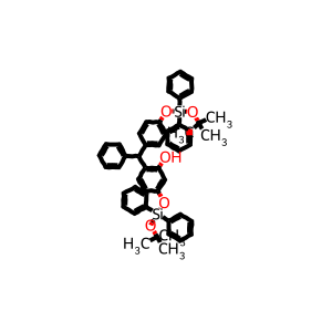 CC(C)(C)O[Si](Oc1ccc(C(c2ccccc2)c2ccc(O[Si](OC(C)(C)C)(c3ccccc3)c3ccccc3)cc2O)cc1)(c1ccccc1)c1ccccc1